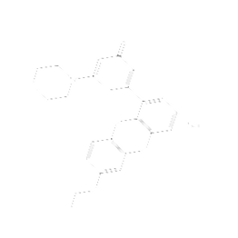 O=C(O)COc1ccc2c(c1)Sc1cccc(-c3cc(=O)cc(N4CCOCC4)o3)c1S2.[NaH]